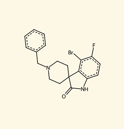 O=C1Nc2ccc(F)c(Br)c2C12CCN(Cc1ccccc1)CC2